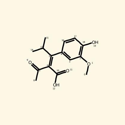 COc1cc(C(=C(C(C)=O)C(=O)O)C(C)C)ccc1O